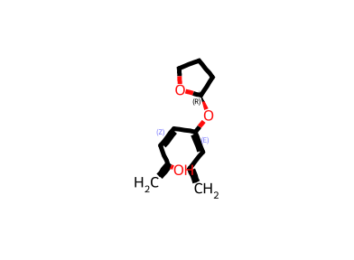 C=C/C=C(\C=C/C(=C)O)O[C@@H]1CCCO1